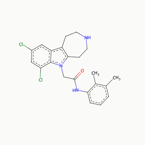 Cc1cccc(NC(=O)Cn2c3c(c4cc(Cl)cc(Cl)c42)CCNCC3)c1C